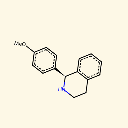 COc1ccc([C@@H]2NCCc3ccccc32)cc1